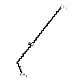 CCCCCCCC/C=C\CCCCCCCCCCCCCC(=O)OCCCCCCCCCCCCCCCCCCCCCCCCCCCCCCCC